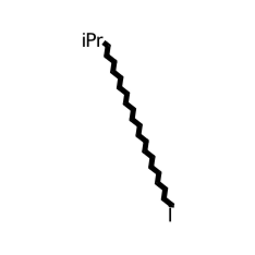 CC(C)CCCCCCCCCCCCCCCCCCCCCI